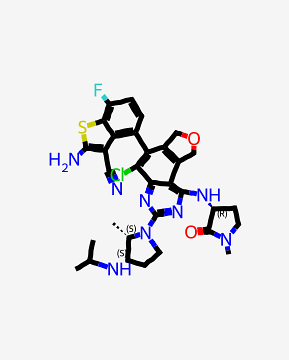 CC(C)N[C@H]1CCN(c2nc(N[C@@H]3CCN(C)C3=O)c3c4c(c(-c5ccc(F)c6sc(N)c(C#N)c56)c(Cl)c3n2)COC4)[C@H]1C